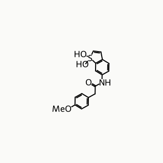 COc1ccc(CC(=O)Nc2ccc3c(c2)S(O)(O)C=C3)cc1